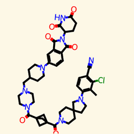 Cc1c(N2CCC3(CCN(C(=O)C45CC(C(=O)N6CCN(CC7CCN(c8ccc9c(c8)C(=O)N(C8CCC(=O)NC8=O)C9=O)CC7)CC6)(C4)C5)CC3)C2)ccc(C#N)c1Cl